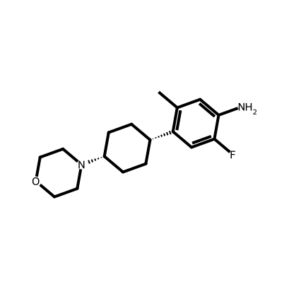 Cc1cc(N)c(F)cc1[C@H]1CC[C@@H](N2CCOCC2)CC1